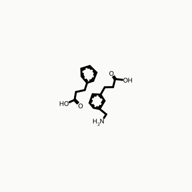 NCc1cccc(CCC(=O)O)c1.O=C(O)CCc1ccccc1